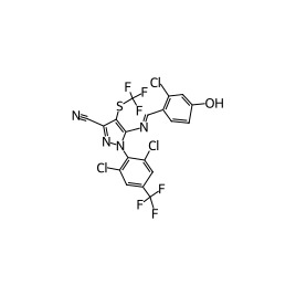 N#Cc1nn(-c2c(Cl)cc(C(F)(F)F)cc2Cl)c(N=Cc2ccc(O)cc2Cl)c1SC(F)(F)F